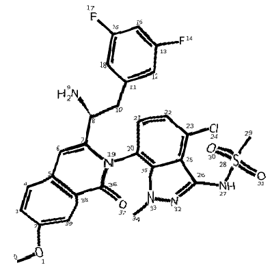 COc1ccc2cc([C@@H](N)Cc3cc(F)cc(F)c3)n(-c3ccc(Cl)c4c(NS(C)(=O)=O)nn(C)c34)c(=O)c2c1